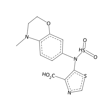 CN1CCOc2cc(N(c3scnc3C(=O)O)[SH](=O)=O)ccc21